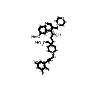 COc1ccc2ncc(CN3CCOCC3)c([C@@H](O)CCC3(CC(=O)O)CCN(CC#Cc4cc(F)cc(F)c4F)CC3)c2c1